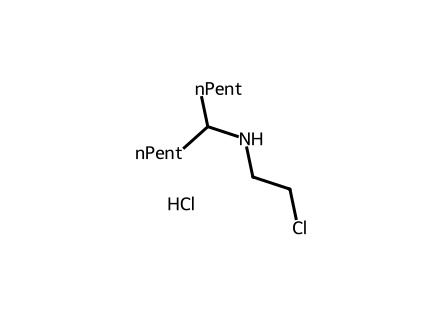 CCCCCC(CCCCC)NCCCl.Cl